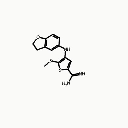 CSc1sc(C(=N)N)cc1Nc1ccc2c(c1)CCO2